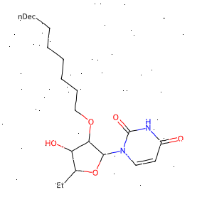 CCCCCCCCCCCCCCCCOC1C(O)C(CC)OC1n1ccc(=O)[nH]c1=O